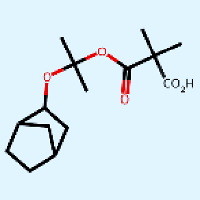 CC(C)(OC(=O)C(C)(C)C(=O)O)OC1CC2CCC1C2